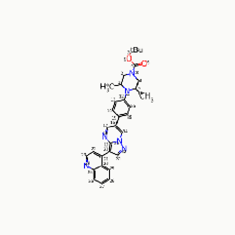 CC1CN(C(=O)OC(C)(C)C)CC(C)N1c1ccc(-c2cnc3c(-c4ccnc5ccccc45)cnn3c2)cc1